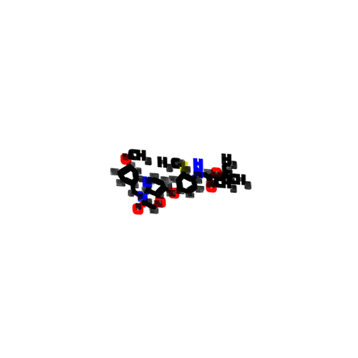 COc1ccc(CN2C(=O)COc3c(Oc4ccc(NC(=O)OC(C)(C)C)c(SC)c4)ccnc32)cc1